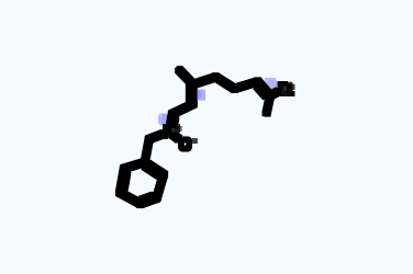 CC/C(C)=C/CC/C(C)=C/C=[N+](\[O-])Cc1ccccc1